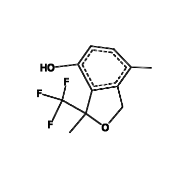 Cc1ccc(O)c2c1COC2(C)C(F)(F)F